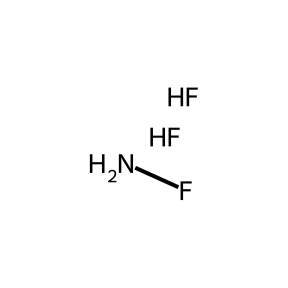 F.F.NF